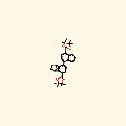 CC1(C)OB(c2ccc(-c3ccc(B4OC(C)(C)C(C)(C)O4)c4ccccc34)c3c2C2CCC3C2)OC1(C)C